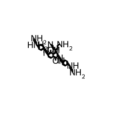 NCCNc1ccc(N=Nc2cc(N(CCN)CCN)c3c(O)c(N=Nc4ccc(NCCN)cc4)ccc3c2O)cc1